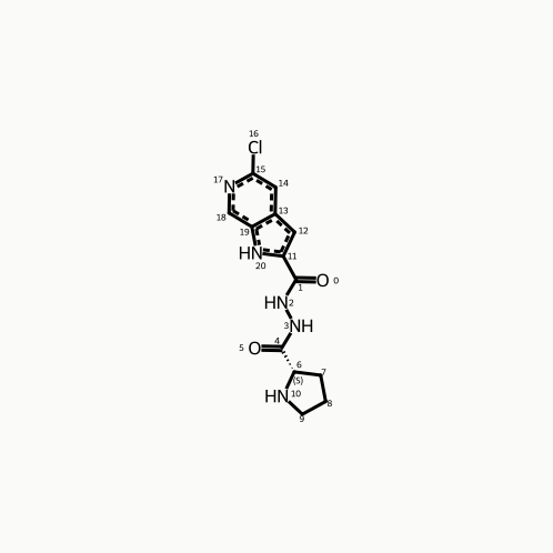 O=C(NNC(=O)[C@@H]1CCCN1)c1cc2cc(Cl)ncc2[nH]1